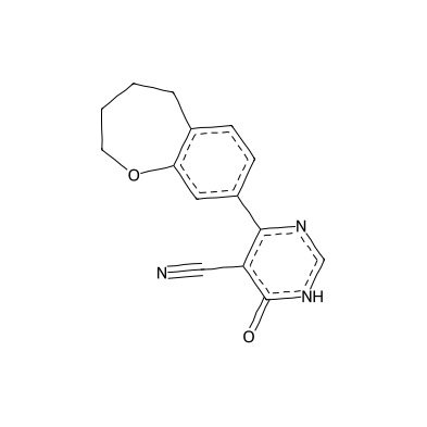 N#Cc1c(-c2ccc3c(c2)OCCCC3)nc[nH]c1=O